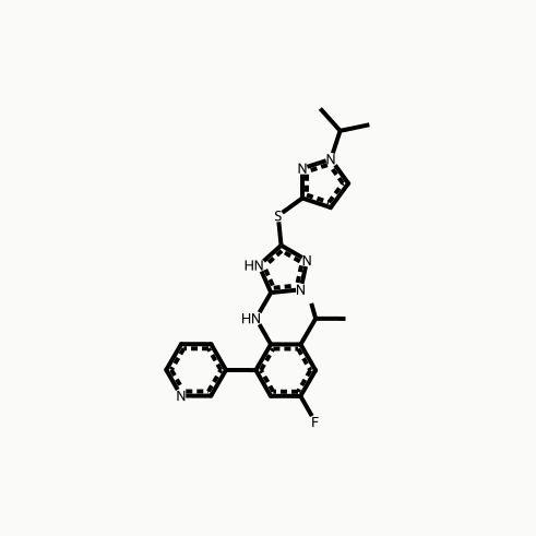 CC(C)c1cc(F)cc(-c2cccnc2)c1Nc1nnc(Sc2ccn(C(C)C)n2)[nH]1